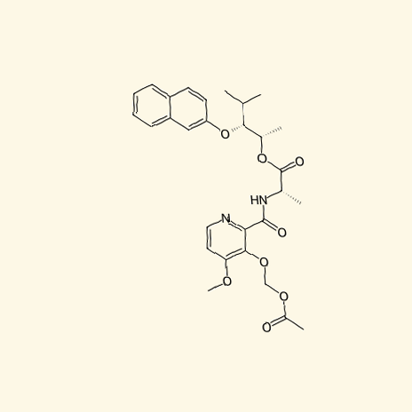 COc1ccnc(C(=O)N[C@@H](C)C(=O)O[C@@H](C)[C@H](Oc2ccc3ccccc3c2)C(C)C)c1OCOC(C)=O